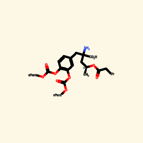 CCCCCOC(=O)Oc1ccc(CC(N)(C[C@H](C)OC(=O)CC(C)C)C(=O)O)cc1OC(=O)OCCCCC